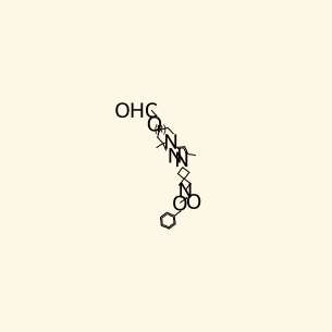 Cc1cc(N2CC[C@@H](OCC=O)CC2(C)C)nn1C1CC2(C1)CN(C(=O)OCc1ccccc1)C2